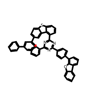 c1ccc(-c2cccc(-c3ccc4sc5cccc(-c6nc(-c7ccccc7)nc(-c7ccc(-c8cccc9c8oc8ccccc89)cc7)n6)c5c4c3)c2)cc1